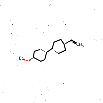 C=C[C@H]1CC[C@H]([C@H]2CC[C@H](OCC)CC2)CC1